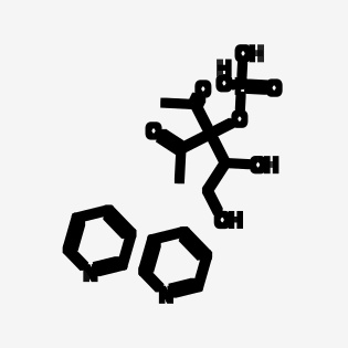 CC(=O)C(OP(=O)(O)O)(C(C)=O)C(O)CO.c1ccncc1.c1ccncc1